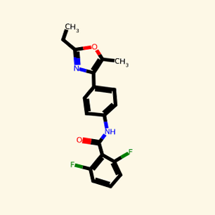 CCc1nc(-c2ccc(NC(=O)c3c(F)cccc3F)cc2)c(C)o1